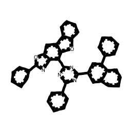 c1ccc(-c2nc(-c3cc(-c4ccccc4)c4ccccc4c3)nc(-c3c4nc(-c5ccccc5)oc4cc4c3oc3ccccc34)n2)cc1